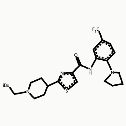 CCC(C)CN1CCC(c2nc(C(=O)Nc3cc(C(F)(F)F)ccc3N3CCCC3)cs2)CC1